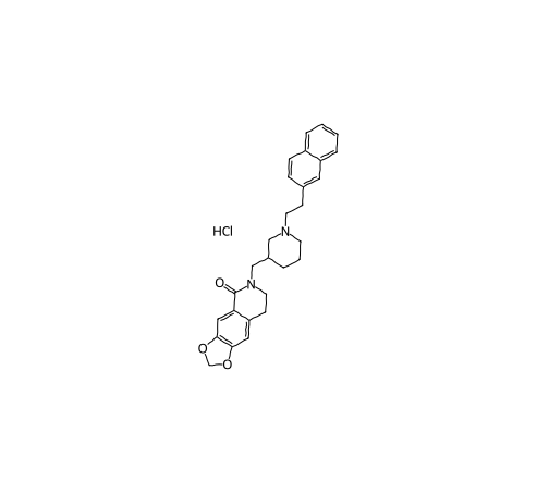 Cl.O=C1c2cc3c(cc2CCN1CC1CCCN(CCc2ccc4ccccc4c2)C1)OCO3